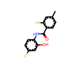 Cc1ccc(C(=O)Nc2ccc(F)cc2O)c(F)c1